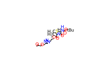 CC(C)(C)OC(=O)N[C@@H]1C(=O)N2C(C(=O)OCCCn3cc(COCC4CO4)nn3)C(C)(C)S[C@H]12